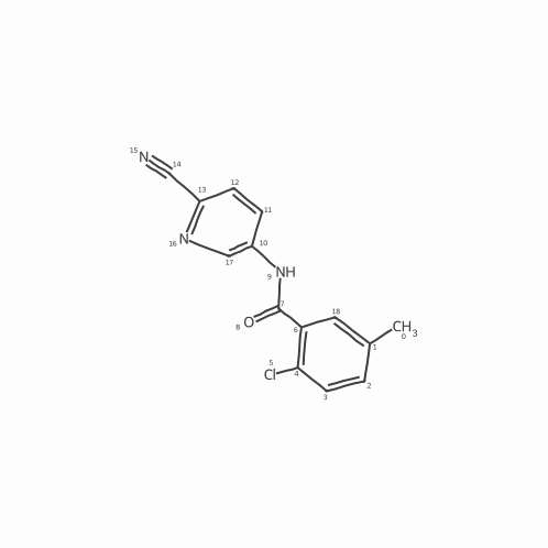 Cc1ccc(Cl)c(C(=O)Nc2ccc(C#N)nc2)c1